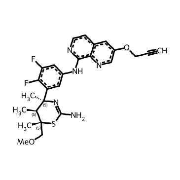 C#CCOc1cnc2c(Nc3cc(F)c(F)c([C@@]4(C)N=C(N)S[C@](C)(COC)[C@H]4C)c3)nccc2c1